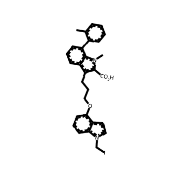 Cc1ccccc1-c1cccc2c(CCCOc3cccc4c3ccn4CI)c(C(=O)O)n(C)c12